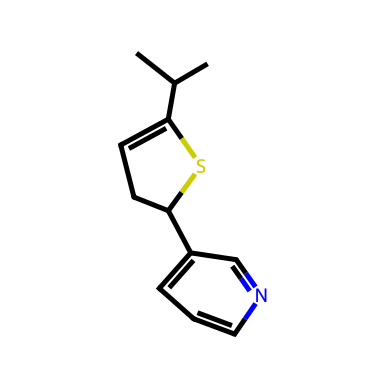 CC(C)C1=CCC(c2cccnc2)S1